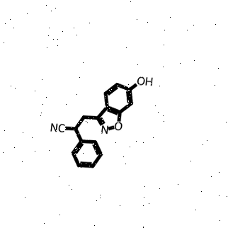 N#CC(Cc1noc2cc(O)ccc12)c1ccccc1